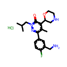 Cc1c(-c2ccc(F)c(CN)c2)nn(CC(C)C)c(=O)c1C1CNCCO1.Cl